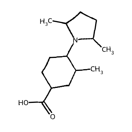 CC1CC(C(=O)O)CCC1N1C(C)CCC1C